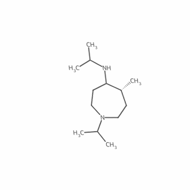 CC(C)NC1CCN(C(C)C)CC[C@H]1C